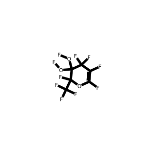 FOC1(OF)C(F)(F)C(F)=C(F)OC1(F)C(F)(F)F